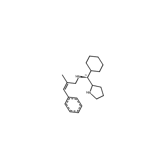 CC(=Cc1ccccc1)CN[C@@H](C1CCCCC1)C1CCCN1